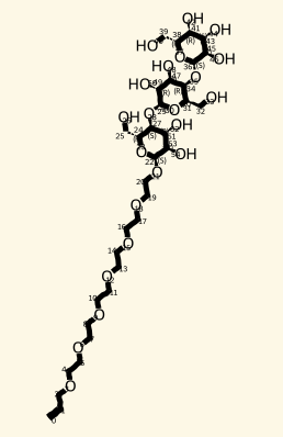 C=CCOCCOCCOCCOCCOCCOCCO[C@H]1O[C@H](CO)[C@@H](O[C@@H]2O[C@H](CO)[C@H](O[C@@H]3O[C@H](CO)[C@H](O)[C@H](O)[C@H]3O)[C@H](O)[C@H]2O)[C@H](O)[C@H]1O